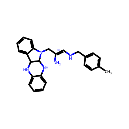 Cc1ccc(CN/C=C(\N)CN2c3ccccc3C3Nc4ccccc4NC32)cc1